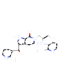 C/C=C(/Cn1ccc2c(C(=O)c3cccnc3Cl)c[nH]c2c1=O)Nc1cccnc1C